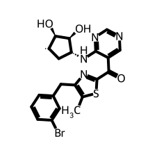 Cc1sc(C(=O)c2cncnc2N[C@@H]2C[CH][C@@H](O)[C@H]2O)nc1Cc1cccc(Br)c1